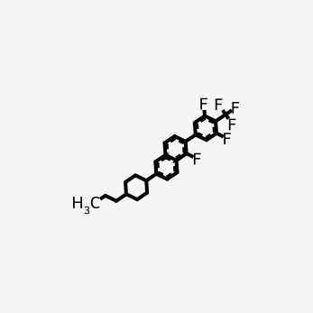 CCCC1CCC(c2ccc3c(F)c(-c4cc(F)c(C(F)(F)F)c(F)c4)ccc3c2)CC1